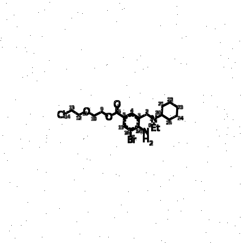 CCN(Cc1cc(C(=O)OCCOCCCl)cc(Br)c1N)C1CCCCC1